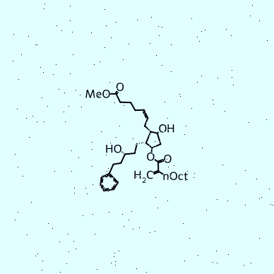 C=C(CCCCCCCC)C(=O)O[C@@H]1C[C@H](O)[C@H](C/C=C\CCCC(=O)OC)[C@H]1CC[C@@H](O)CCc1ccccc1